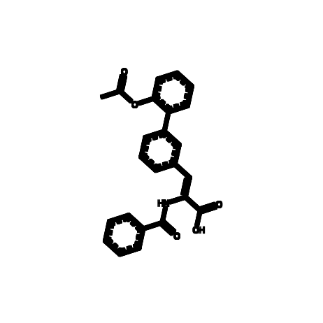 CC(=O)Oc1ccccc1-c1cccc(C=C(NC(=O)c2ccccc2)C(=O)O)c1